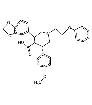 COc1ccc([C@H]2CN(CCOc3ccccc3)CC(c3ccc4c(c3)OCO4)[C@@H]2C(=O)O)cc1